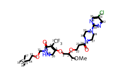 COCC(COC1=C(C(F)(F)F)C(=O)N(COCC[Si](C)(C)C)NC1)OCCC(=O)N1CCN(c2ncc(Cl)cn2)CC1